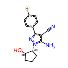 N#Cc1c(-c2ccc(Br)cc2)nn([C@@H]2CCC[C@H]2O)c1N